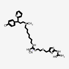 CN(CCCCCCCN/C(=N\CCSCc1csc(NC(=N)N)n1)NC#N)CCC(c1ccc(Cl)cc1)c1ccccn1